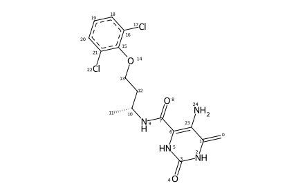 C=C1NC(=O)NC(C(=O)N[C@H](C)CCOc2c(Cl)cccc2Cl)=C1N